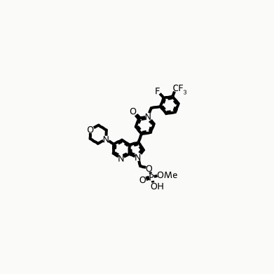 COP(=O)(O)OCn1cc(-c2ccn(Cc3cccc(C(F)(F)F)c3F)c(=O)c2)c2cc(N3CCOCC3)cnc21